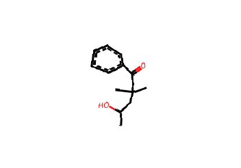 CC(O)CC(C)(C)C(=O)c1ccccc1